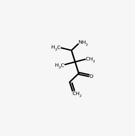 C=CC(=O)C(C)(C)C(C)N